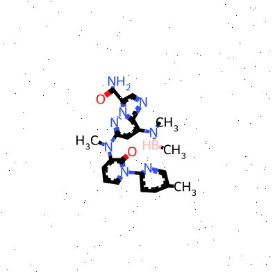 CBN(C)c1cc(N(C)c2cccn(-c3ccc(C)cn3)c2=O)nn2c(C(N)=O)cnc12